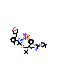 Cc1cccc(CC2CCOCC2)c1-c1nc2nc(c1C)OC[C@@H](CC(C)(C)C)C(Cc1ncc(N3CCC(C)(C)C3)cn1)c1cccc(c1)S(=O)(=O)N2